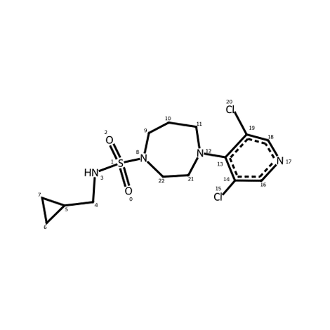 O=S(=O)(NCC1CC1)N1CCCN(c2c(Cl)cncc2Cl)CC1